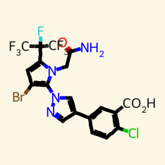 NC(=O)Cn1c(C(F)(C(F)(F)F)C(F)(F)F)cc(Br)c1-n1cc(-c2ccc(Cl)c(C(=O)O)c2)cn1